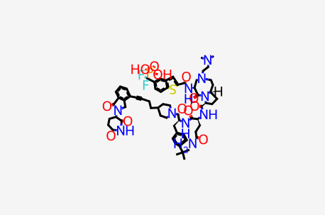 CN(C)CCN1CC[C@H]2CC[C@@H](C(=O)N[C@@H](CCC(N)=O)C(=O)N[C@@H](Cc3ccc(C(C)(C)C)cc3)C(=O)N3CCC(CCC#Cc4cccc5c4CN(C4CCC(=O)NC4=O)C5=O)CC3)N2C(=O)[C@@H](NC(=O)c2cc3cc(C(F)(F)P(=O)(O)O)ccc3s2)C1